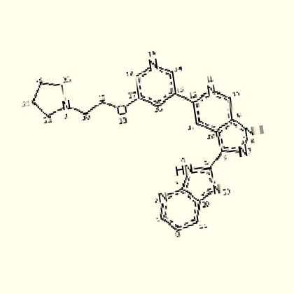 c1cnc2[nH]c(-c3n[nH]c4cnc(-c5cncc(OCCN6CCCC6)c5)cc34)nc2c1